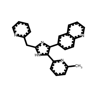 Cc1cccc(-c2[nH]c(Cc3ccccn3)nc2-c2ccc3ncccc3c2)n1